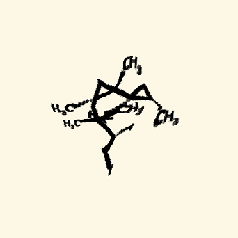 C[C@H]1C[C@]1(C)[C@@]1(C)C[C@]1(C)C(C)(C)[C@H](I)CI